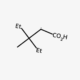 CCC(C)([CH]C(=O)O)CC